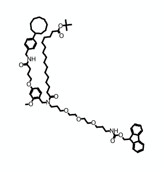 COc1cc(OCCCC(=O)NCc2ccc(C3CCCCCCCC3)cc2)ccc1CN(CCCOCCOCCOCCCNC(=O)OCC1c2ccccc2-c2ccccc21)C(=O)CCCCCCCCCCCCCCC(=O)OC(C)(C)C